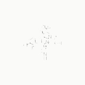 CC(C)(C)[C@@H](CO)n1cc(C(=O)O)c(=O)c2cc(Cc3cccc(Cl)c3F)c(N3CCNCC3)nc21